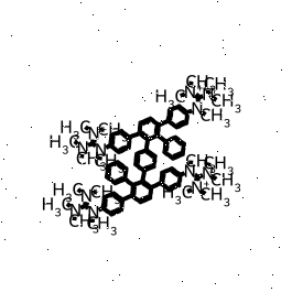 CN(C)C(N(C)c1ccc(-c2ccc(-c3ccc(N(C)C(N(C)C)=[N+](C)C)cc3)c(-c3ccc(-c4c(-c5ccc(N(C)C(N(C)C)=[N+](C)C)cc5)ccc(-c5ccc(N(C)C(N(C)C)=[N+](C)C)cc5)c4-c4ccccc4)cc3)c2-c2ccccc2)cc1)=[N+](C)C